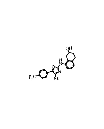 CCc1nc(Nc2cccc3c2C[C@@H](O)CC3)oc1-c1ccc(C(F)(F)F)cc1